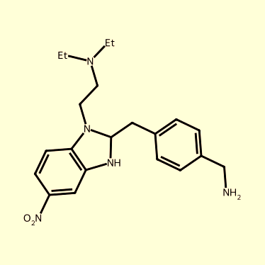 CCN(CC)CCN1c2ccc([N+](=O)[O-])cc2NC1Cc1ccc(CN)cc1